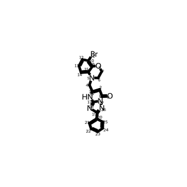 O=c1cc(CN2CCOc3c(Br)cccc32)[nH]c2nc(-c3ccccc3)nn12